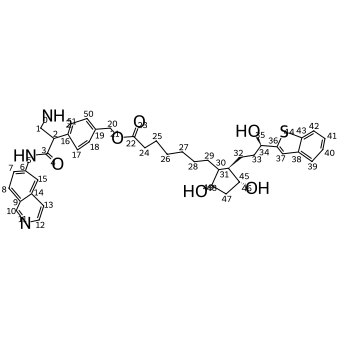 NCC(C(=O)Nc1ccc2cnccc2c1)c1ccc(COC(=O)CCCCCCC2[C@@H](CC[C@@H](O)c3cc4ccccc4s3)[C@H](O)C[C@@H]2O)cc1